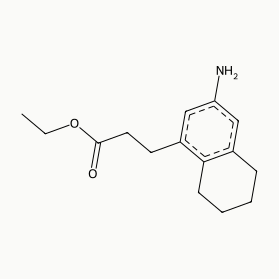 CCOC(=O)CCc1cc(N)cc2c1CCCC2